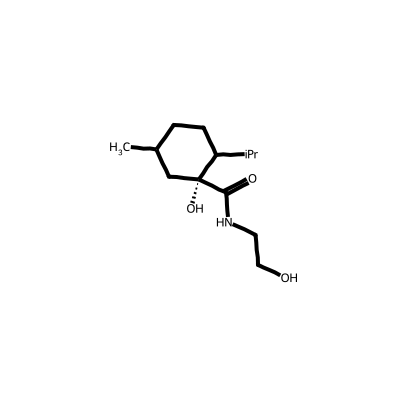 CC1CCC(C(C)C)[C@@](O)(C(=O)NCCO)C1